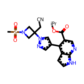 CC(C)OC(=O)c1cnc2[nH]ccc2c1-c1cnn(C2(CC#N)CN(S(C)(=O)=O)C2)c1